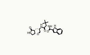 CC(C)(C)[C@H](NC(=O)c1cc2ccccc2[nH]1)C(=O)N[C@H](C=O)C[C@@H]1CCNC1=O